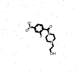 O=C(c1ccc([N+](=O)[O-])cc1F)N1CCN(CCO)CC1